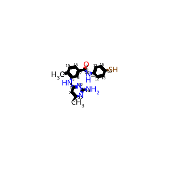 Cc1cc(Nc2cc(C(=O)Nc3ccc(S)cc3)ccc2C)nc(N)n1